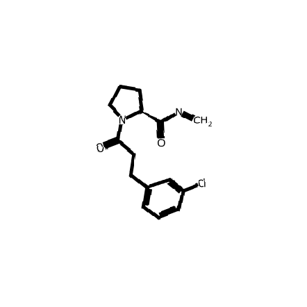 C=NC(=O)[C@@H]1CCCN1C(=O)CCc1cccc(Cl)c1